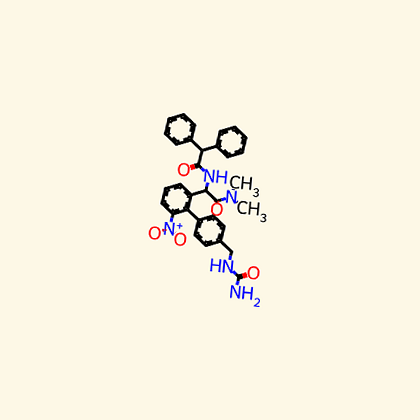 CN(C)C(=O)C(NC(=O)C(c1ccccc1)c1ccccc1)c1cccc([N+](=O)[O-])c1-c1ccc(CNC(N)=O)cc1